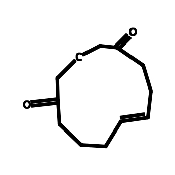 O=C1CC/C=C/CCCC(=O)CCC1